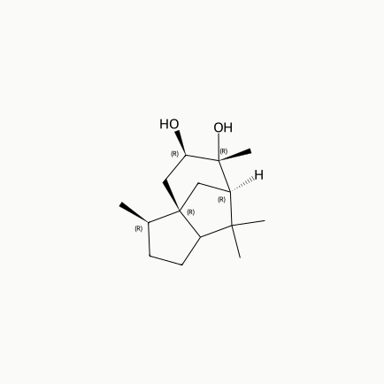 C[C@@H]1CCC2C(C)(C)[C@H]3C[C@]21C[C@@H](O)[C@]3(C)O